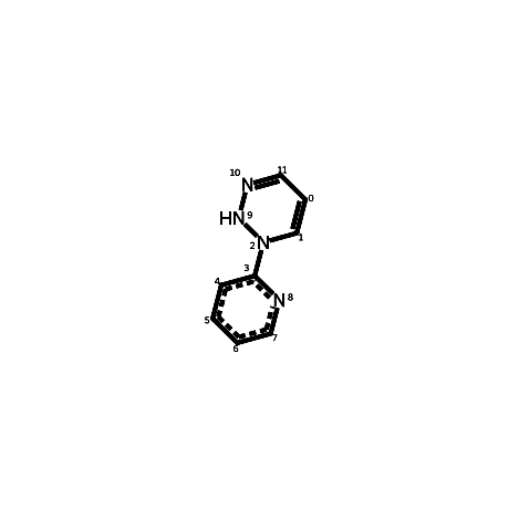 C1=CN(c2ccccn2)NN=C1